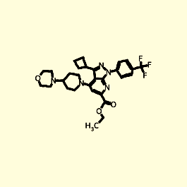 CCOC(=O)c1cc(N2CCC(N3CCOCC3)CC2)c2c(C3CCC3)nn(-c3ccc(C(F)(F)F)cc3)c2n1